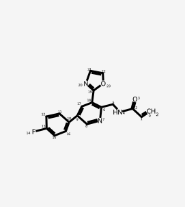 C=CC(=O)NCc1ncc(-c2ccc(F)cc2)cc1-c1ncco1